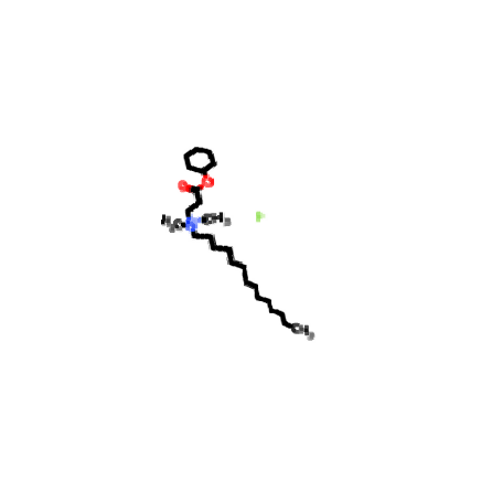 CCCCCCCCCCCCCC[N+](C)(C)CCC(=O)OC1CCCCC1.[F-]